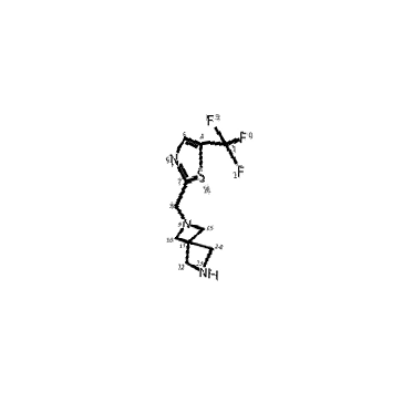 FC(F)(F)c1cnc(CN2CC3(CNC3)C2)s1